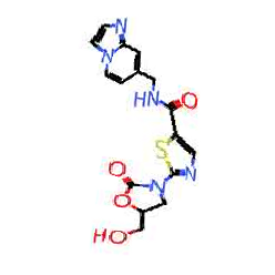 O=C(NCc1ccn2ccnc2c1)c1cnc(N2CC(CO)OC2=O)s1